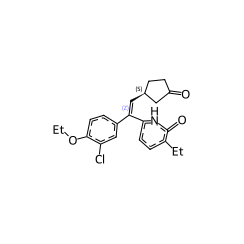 CCOc1ccc(/C(=C/[C@H]2CCC(=O)C2)c2ccc(CC)c(=O)[nH]2)cc1Cl